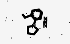 CCc1ccccc1N1CCCC1.N#N